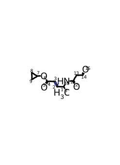 CC(/C=C/C(=O)OC1CC1)NC(=O)CC=O